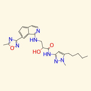 CCCCCc1cc(NC(=O)C(O)CNc2nccc3ccc(-c4noc(C)n4)cc23)nn1C